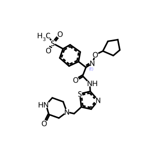 CS(=O)(=O)c1ccc(/C(=N\OC2CCCC2)C(=O)Nc2ncc(CN3CCNC(=O)C3)s2)cc1